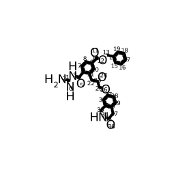 N=C(N)NC(=O)c1ccc(C(=O)OCc2ccccc2)cc1CC(=O)COc1ccc2c(c1)CNC(=O)C2